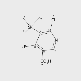 C[Si](C)(C)c1c(Cl)ncc(C(=O)O)c1F